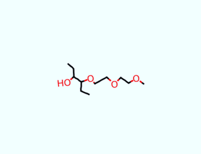 CCC(O)C(CC)OCCOCCOC